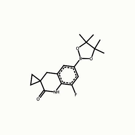 CC1(C)OB(c2cc(F)c3c(c2)CC2(CC2)C(=O)N3)OC1(C)C